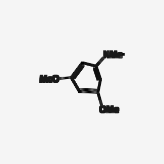 C[N]c1cc(OC)cc(OC)c1